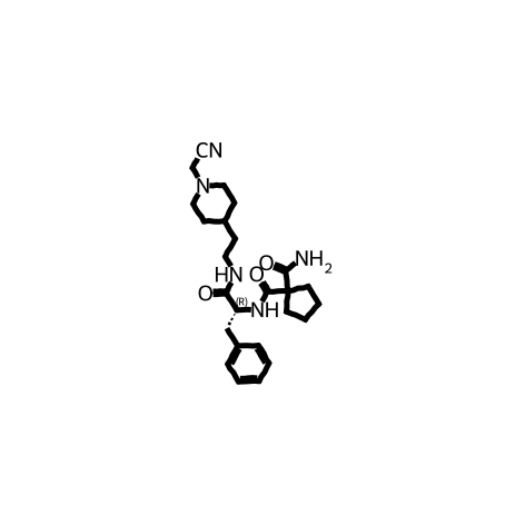 N#CCN1CCC(CCNC(=O)[C@@H](Cc2ccccc2)NC(=O)C2(C(N)=O)CCCC2)CC1